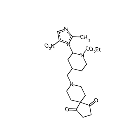 CCOC(=O)N1CCC(CN2CCC3(CC2)C(=O)CCC3=O)CC1n1c([N+](=O)[O-])cnc1C